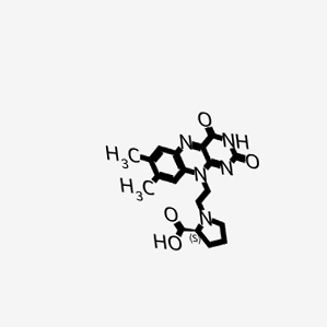 Cc1cc2nc3c(=O)[nH]c(=O)nc-3n(CCN3CCC[C@H]3C(=O)O)c2cc1C